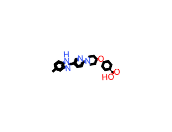 Cc1ccc2[nH]c(-c3ccc(N4CCC(O[C@H]5CC[C@H](C(=O)O)CC5)CC4)nc3)nc2c1